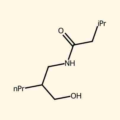 CCCC(CO)CNC(=O)CC(C)C